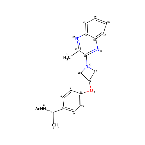 CC(=O)N[C@@H](C)c1ccc(OC2CN(c3nc4ccccc4nc3C)C2)cc1